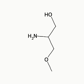 COCC(N)CO